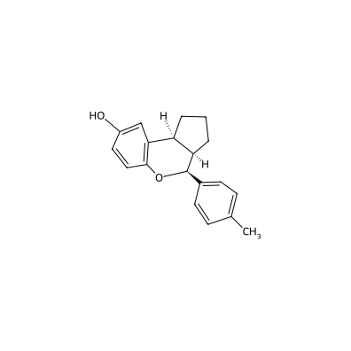 Cc1ccc([C@H]2Oc3ccc(O)cc3[C@H]3CCC[C@H]32)cc1